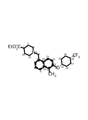 CCOC(=O)C1CCN(Cc2cccc3c(C)c(O[C@H]4CC[C@@H](C(F)(F)F)CC4)ccc23)CC1